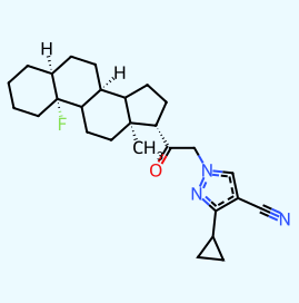 C[C@]12CCC3[C@@H](CC[C@@H]4CCCC[C@]34F)C1CC[C@@H]2C(=O)Cn1cc(C#N)c(C2CC2)n1